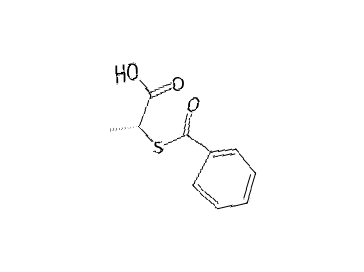 C[C@@H](SC(=O)c1ccccc1)C(=O)O